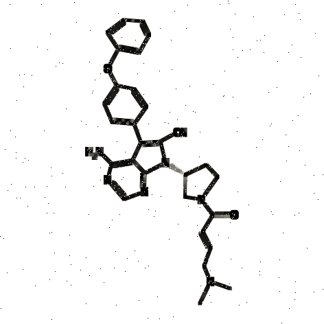 CN(C)CC=CC(=O)N1CC[C@@H](n2c(C#N)c(-c3ccc(Oc4ccccc4)cc3)c3c(N)ncnc32)C1